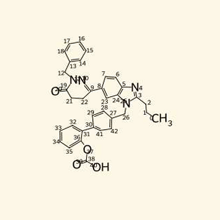 CCCc1nc2ccc(C3=NN(Cc4ccccc4)C(=O)CC3)cc2n1Cc1ccc(-c2ccccc2OC(=O)O)cc1